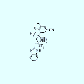 CC(C)(CC(N)(Cc1nc2ccccc2[nH]1)C(F)(F)F)c1cc(C#N)cc2c1OCC2